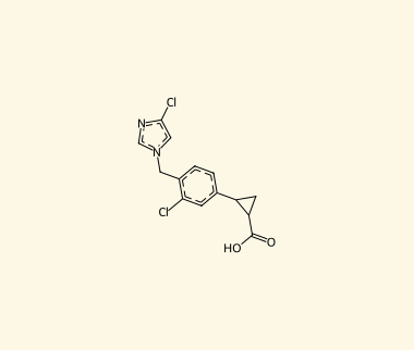 O=C(O)C1CC1c1ccc(Cn2cnc(Cl)c2)c(Cl)c1